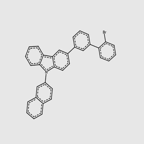 Brc1ccccc1-c1cccc(-c2ccc3c(c2)c2ccccc2n3-c2ccc3ccccc3c2)c1